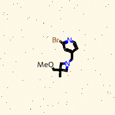 COCC1(C)CN(Cc2ccnc(Br)c2)C1